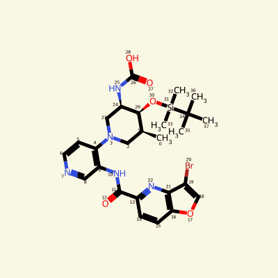 C[C@H]1CN(c2ccncc2NC(=O)c2ccc3occ(Br)c3n2)C[C@@H](NC(=O)O)[C@H]1O[Si](C)(C)C(C)(C)C